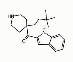 CC(C)(C)CCC1(C(=O)c2cc3ccccc3[nH]2)CCNCC1